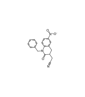 N#CCC1Cc2cc([N+](=O)[O-])ccc2N(Cc2ccccc2)C1=O